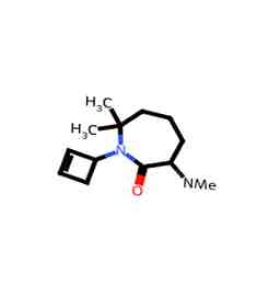 CNC1CCCC(C)(C)N(C2C=CC2)C1=O